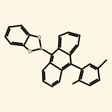 Cc1ccc(C)c(-c2c3ccccc3c(B3Oc4ccccc4O3)c3ccccc23)c1